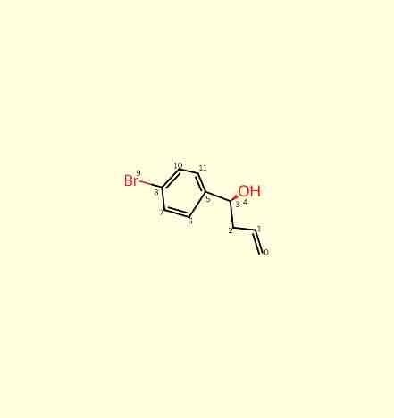 C=CC[C@H](O)c1ccc(Br)cc1